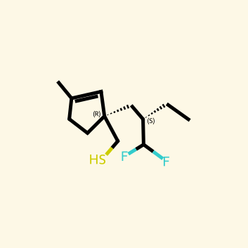 CC[C@@H](C[C@@]1(CS)C=C(C)CC1)C(F)F